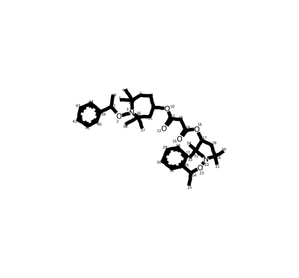 CC(ON1C(C)(C)CCC(OC(=O)CC(=O)OC2CC(C)(C)N(OC(C)c3ccccc3)C2(C)C)CC1(C)C)c1ccccc1